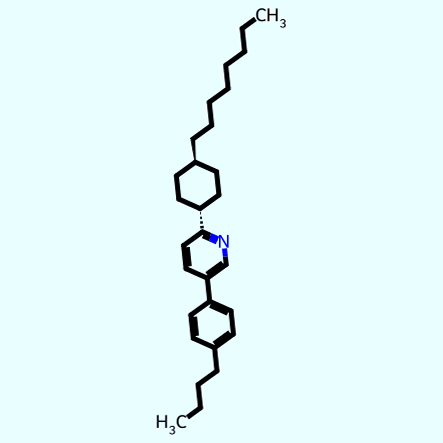 CCCCCCCC[C@H]1CC[C@H](c2ccc(-c3ccc(CCCC)cc3)cn2)CC1